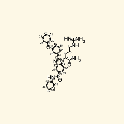 N=C(N)NCCCC(C(N)=O)n1c(-c2cccc(Oc3ccccc3)c2)nc2cc(C(=O)Nc3cccnc3)ccc21